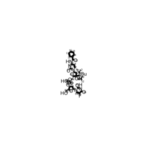 CC(C)(C)[Si](C)(C)C1[C@@H](n2ccc(NC(=O)c3ccccc3)nc2=O)O[C@@H](COP(=O)(O)OC2C[C@H](n3cc(F)c(=O)[nH]c3=O)O[C@@H]2CO)C1(O)C[Si](C)(C)C